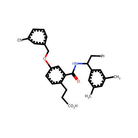 [C-]#[N+]c1cccc(COc2ccc(CCC(=O)O)c(C(=O)NC(CC(C)C)c3cc(C)cc(C)c3)c2)c1